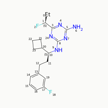 CC[C@H](F)c1nc(N)nc(N[C@@H](CCc2cccc(F)c2)C2CCC2)n1